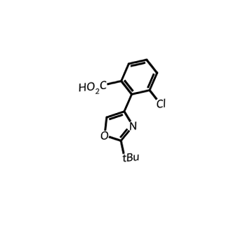 CC(C)(C)c1nc(-c2c(Cl)cccc2C(=O)O)co1